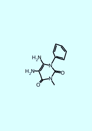 Cn1c(=O)c(N)c(N)n(-c2ccccc2)c1=O